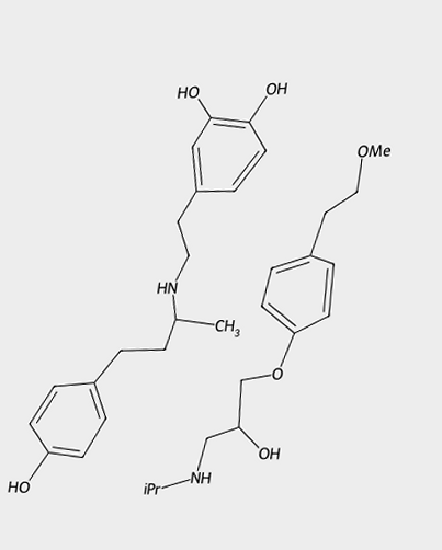 CC(CCc1ccc(O)cc1)NCCc1ccc(O)c(O)c1.COCCc1ccc(OCC(O)CNC(C)C)cc1